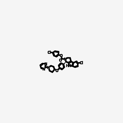 O=C(Oc1ccc(Cl)cc1)N1CCc2c([nH]c3ccc(Cl)cc23)[C@@H]1c1ccc(OC2CCN(c3ncccn3)CC2)cc1